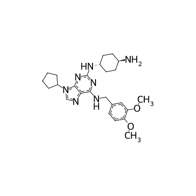 COc1ccc(CNc2nc(N[C@H]3CC[C@H](N)CC3)nc3c2ncn3C2CCCC2)cc1OC